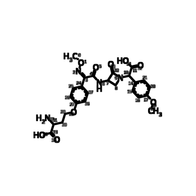 CO/N=C(\C(=O)NC1CN(C(C(=O)O)c2ccc(OC)cc2)C1=O)c1ccc(OCCC(N)C(=O)O)cc1